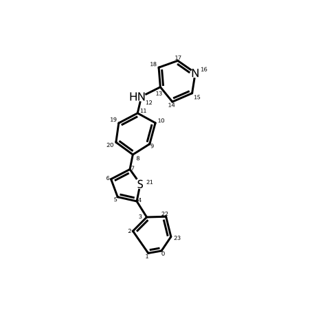 c1ccc(-c2ccc(-c3ccc(Nc4ccncc4)cc3)s2)cc1